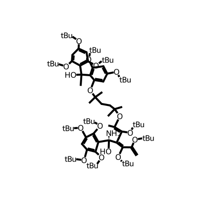 C=C(OC(C)(C)C)/C(OC(C)(C)C)=C(\C(OC(C)(C)C)=C(/C)OC(C)(C)CCC(C)(C)Oc1cc(OC(C)(C)C)cc(OC(C)(C)C)c1C(C)(O)c1c(OC(C)(C)C)cc(OC(C)(C)C)cc1OC(C)(C)C)[C@@](N)(O)c1c(OC(C)(C)C)c(OC(C)(C)C)cc(OC(C)(C)C)c1OC(C)(C)C